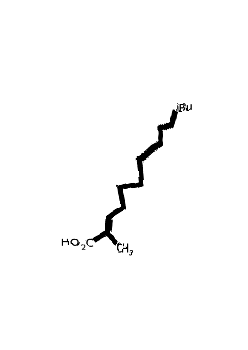 CCC(C)CCCCCCCC=C(C)C(=O)O